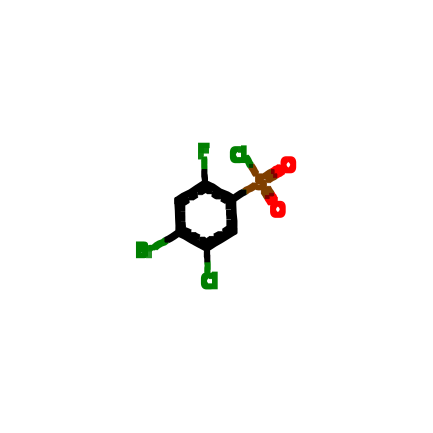 O=S(=O)(Cl)c1cc(Cl)c(Br)cc1F